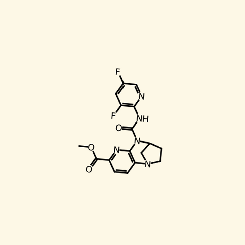 COC(=O)c1ccc2c(n1)N(C(=O)Nc1ncc(F)cc1F)C1CCN2C1